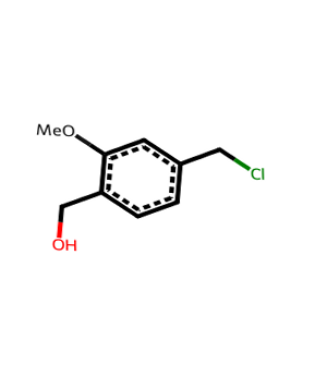 COc1cc(CCl)ccc1CO